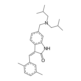 Cc1ccc(C)c(C=C2C(=O)Nc3cc(CN(CC(C)C)CC(C)C)ccc32)c1